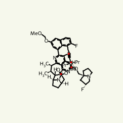 COCOc1cc(-c2nc3c4c(nc(OC[C@@]56CCCN5C[C@H](F)C6)nc4c2F)N2C[C@H]4CC[C@@H]([C@@H]2[C@@H](C)[C@H]3C)N4C(=O)OC(C)(C)C)c2c(C#C[Si](C(C)C)(C(C)C)C(C)C)c(F)ccc2c1